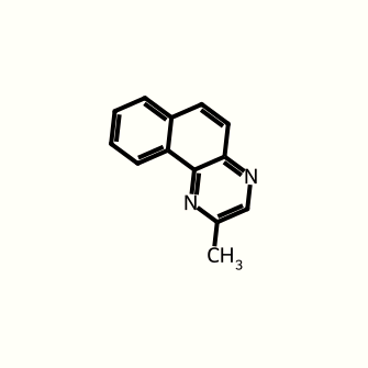 Cc1cnc2ccc3ccccc3c2n1